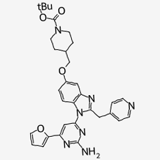 CC(C)(C)OC(=O)N1CCC(COc2ccc3c(c2)nc(Cc2ccncc2)n3-c2cc(-c3ccco3)nc(N)n2)CC1